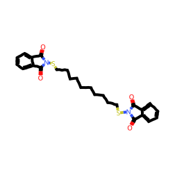 O=C1c2ccccc2C(=O)N1SCCCCCCCCCCSN1C(=O)c2ccccc2C1=O